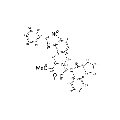 COC(=O)C1Cc2c(ccc(C#N)c2OCc2ccccc2)CN1C(=O)C(OC1CCCC1)c1ccccc1